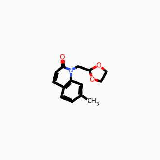 Cc1ccc2ccc(=O)n(CC3OCCO3)c2c1